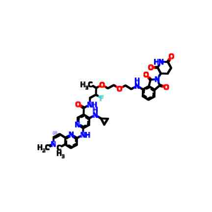 C=N/C=C\c1nc(Nc2cc(NC3CC3)c(C(=O)NCC(F)C(C)OCCOCCNc3cccc4c3C(=O)N(C3CCC(=O)NC3=O)C4=O)cn2)ccc1C